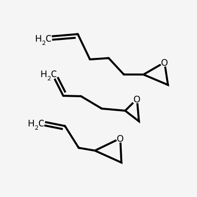 C=CCC1CO1.C=CCCC1CO1.C=CCCCC1CO1